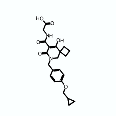 O=C(O)CNC(=O)C1=C(O)C2(CCC2)CN(Cc2ccc(OCC3CC3)cc2)C1=O